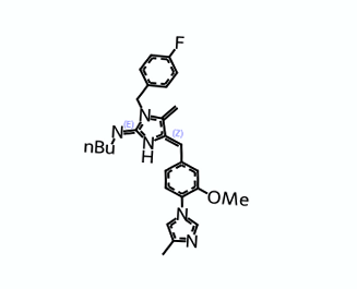 C=c1/c(=C/c2ccc(-n3cnc(C)c3)c(OC)c2)[nH]/c(=N\CCCC)n1Cc1ccc(F)cc1